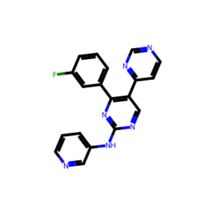 Fc1cccc(-c2nc(Nc3cccnc3)ncc2-c2ccncn2)c1